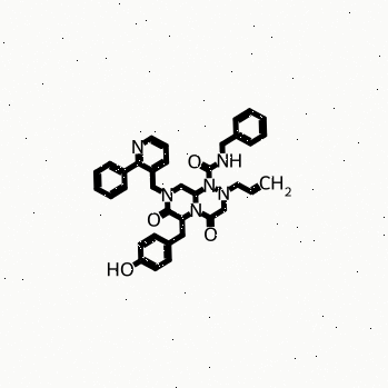 C=CCN1CC(=O)N2C(Cc3ccc(O)cc3)C(=O)N(Cc3cccnc3-c3ccccc3)CC2N1C(=O)NCc1ccccc1